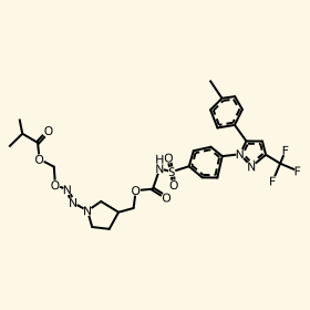 Cc1ccc(-c2cc(C(F)(F)F)nn2-c2ccc(S(=O)(=O)NC(=O)OCC3CCN(N=NOCOC(=O)C(C)C)C3)cc2)cc1